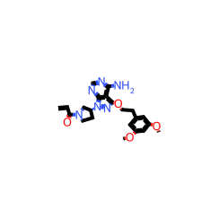 C=CC(=O)N1CC[C@H](n2nc(OCCc3cc(OC)cc(OC)c3)c3c(N)ncnc32)C1